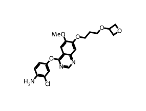 COc1cc2c(Oc3ccc(N)c(Cl)c3)ncnc2cc1OCCCOC1COC1